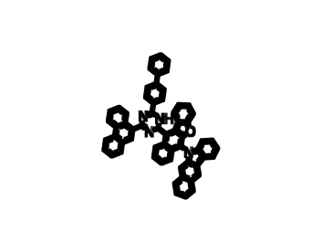 c1ccc(-c2ccc(C3=NC(c4cc5ccccc5c5ccccc45)=NC(c4c5ccccc5c(-n5c6ccccc6c6cc7ccccc7cc65)c5oc6ccccc6c45)N3)cc2)cc1